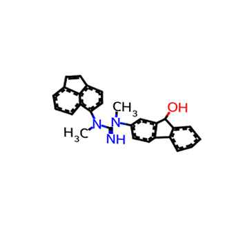 CN(C(=N)N(C)c1ccc2c3c(cccc13)C=C2)c1ccc2c(c1)C(O)c1ccccc1-2